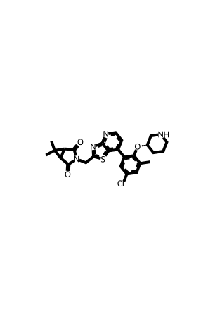 Cc1cc(Cl)cc(-c2ccnc3nc(CN4C(=O)C5C(C4=O)C5(C)C)sc23)c1O[C@H]1CCCNC1